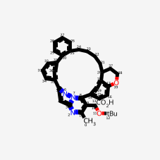 Cc1nc2cc3nn2c(c1[C@H](OC(C)(C)C)C(=O)O)-c1ccc2c(c1)C(CCCCc1ccccc1-c1cccc-3c1)CCO2